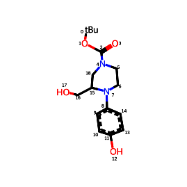 CC(C)(C)OC(=O)N1CCN(c2ccc(O)cc2)C(CO)C1